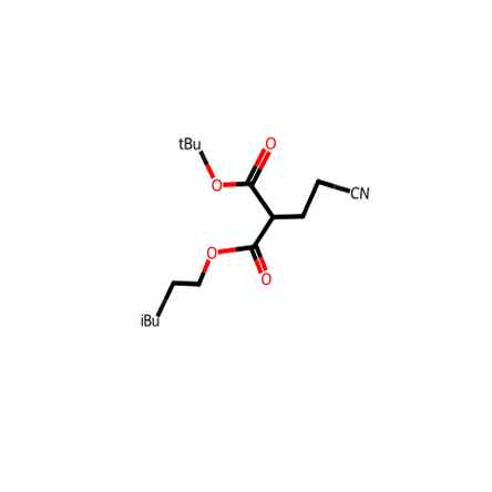 CCC(C)CCOC(=O)C(CCC#N)C(=O)OC(C)(C)C